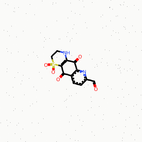 O=Cc1ccc2c(n1)C(=O)C1=C(C2=O)S(=O)(=O)CCN1